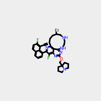 C#Cc1c(F)ccc2cccc(-c3nc4c5c(nc(OCC67CCCN6CCC7)nc5c3F)NCCNCC(CC)CCC4)c12